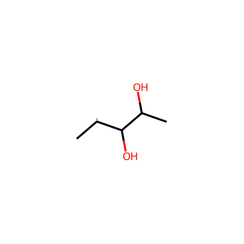 C[CH]C(O)C(C)O